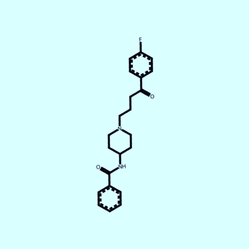 O=C(CCCN1CCC(NC(=O)c2ccccc2)CC1)c1ccc(F)cc1